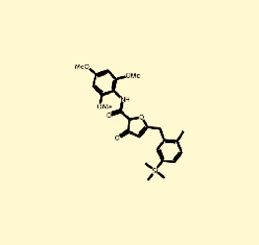 COc1cc(OC)c(NC(=O)C2OC(Cc3cc([Si](C)(C)C)ccc3C)=CC2=O)c(OC)c1